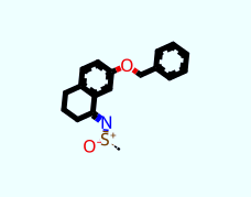 C[S@+]([O-])/N=C1\CCCc2ccc(OCc3ccccc3)cc21